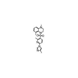 Cc1cn(-c2ccc(S(=O)(=O)N3CCN(C)c4cccc(C)c43)c(C)n2)cn1